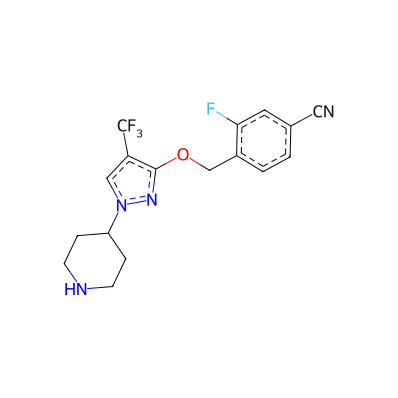 N#Cc1ccc(COc2nn(C3CCNCC3)cc2C(F)(F)F)c(F)c1